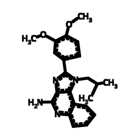 COc1ccc(-c2nc3c(N)nc4ccccc4c3n2CC(C)C)cc1OC